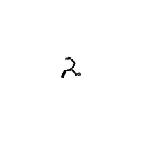 C=CN(CCCC)N=O